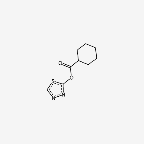 O=C(Oc1nncs1)C1CCCCC1